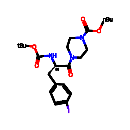 CCCCOC(=O)N1CCN(C(=O)[C@H](Cc2ccc(I)cc2)NC(=O)OC(C)(C)C)CC1